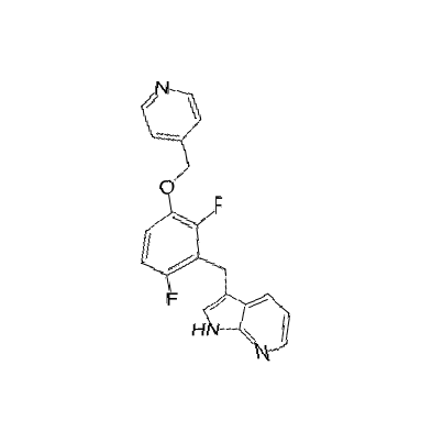 Fc1ccc(OCc2ccncc2)c(F)c1Cc1c[nH]c2ncccc12